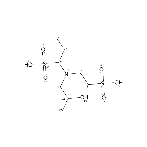 CCC(N(CCS(=O)(=O)O)CC(C)O)S(=O)(=O)O